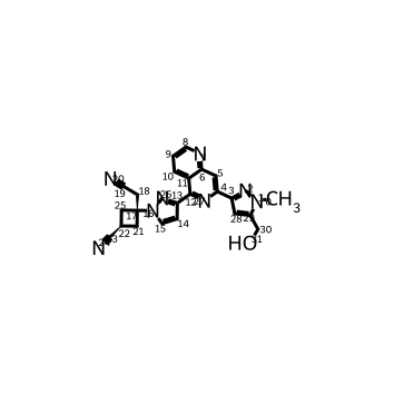 Cn1nc(-c2cc3ncccc3c(-c3ccn([C@]4(CC#N)C[C@@H](C#N)C4)n3)n2)cc1CO